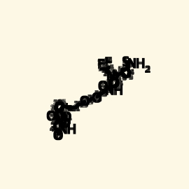 NC(=S)c1cccc(-c2cn(CC(CF)CF)c3cc(NC(=O)CCOCCOCCCC#Cc4cccc5c4C(=O)N(C4CCC(=O)NC4=O)C5=O)ccc23)c1